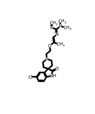 C=N/C(=N\C=C(/C)OCCN1CCC2(CC1)C(=O)Nc1ccc(Cl)cc12)N(C)C